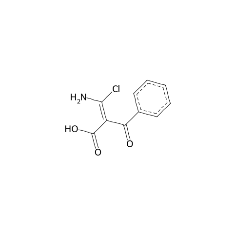 NC(Cl)=C(C(=O)O)C(=O)c1ccccc1